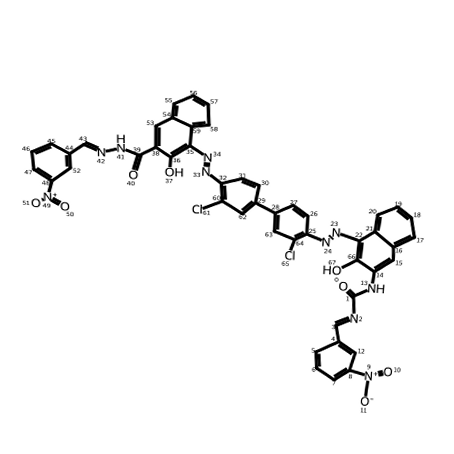 O=C(N=Cc1cccc([N+](=O)[O-])c1)Nc1cc2ccccc2c(N=Nc2ccc(-c3ccc(N=Nc4c(O)c(C(=O)NN=Cc5cccc([N+](=O)[O-])c5)cc5ccccc45)c(Cl)c3)cc2Cl)c1O